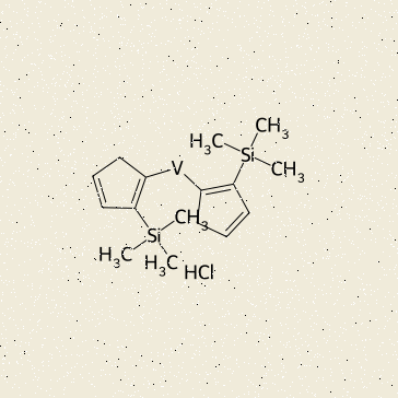 C[Si](C)(C)C1=[C]([V][C]2=C([Si](C)(C)C)C=CC2)CC=C1.Cl